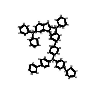 c1ccc(-c2ccc(N(c3ccc(-c4ccccc4)cc3)c3ccc(-c4ccc5c(c4)n4c6cc(N(c7ccccc7)c7ccccc7)ccc6nc4n5-c4ccccc4)cc3)cc2)cc1